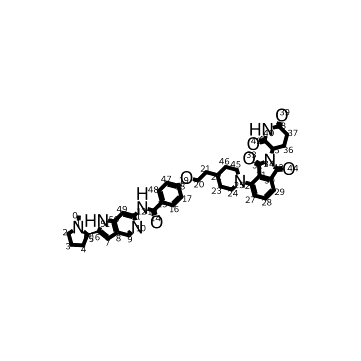 CN1CCC[C@@H]1c1cc2cnc(NC(=O)c3ccc(OCCC4CCN(c5cccc6c5C(=O)N(C5CCC(=O)NC5=O)C6=O)CC4)cc3)cc2[nH]1